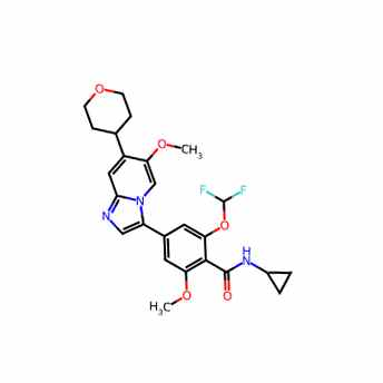 COc1cn2c(-c3cc(OC)c(C(=O)NC4CC4)c(OC(F)F)c3)cnc2cc1C1CCOCC1